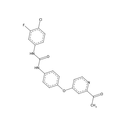 CC(=O)c1cc(Oc2ccc(NC(=O)Nc3ccc(Cl)c(F)c3)cc2)ccn1